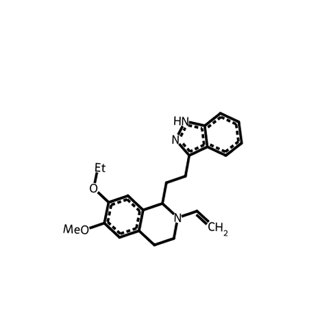 C=CN1CCc2cc(OC)c(OCC)cc2C1CCc1n[nH]c2ccccc12